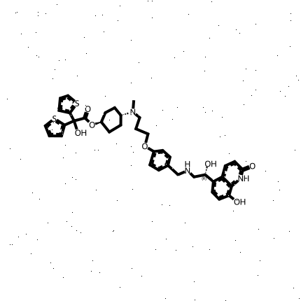 CN(CCCOc1ccc(CNC[C@H](O)c2ccc(O)c3[nH]c(=O)ccc23)cc1)[C@H]1CC[C@H](OC(=O)C(O)(c2cccs2)c2cccs2)CC1